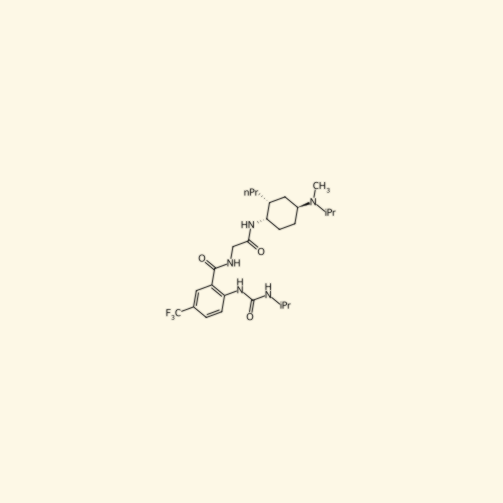 CCC[C@@H]1C[C@@H](N(C)C(C)C)CC[C@@H]1NC(=O)CNC(=O)c1cc(C(F)(F)F)ccc1NC(=O)NC(C)C